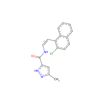 Cc1cc(C(=O)N/C=C\c2c(Cl)ccc3ccccc23)[nH]n1